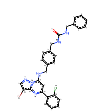 O=C(NCc1ccccc1)NCc1ccc(CNc2cc(-c3ccccc3Cl)nc3c(Br)cnn23)cc1